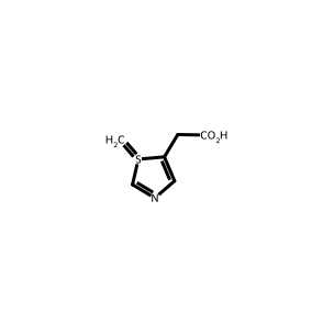 C=S1C=NC=C1CC(=O)O